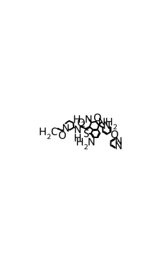 C=CC(=O)N1CCCC(NC(=O)c2sc3c(N)ccc4c3c2C(N)C(=O)C4(N)c2ccc(Oc3cccnn3)cn2)C1